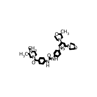 CC1CN(C2=CN(c3ccc(NC(=O)Nc4ccc(C(=O)N5CCN(C)C(C)C5)cc4)cc3)SC(N3CCOCC3)=C2)CCO1